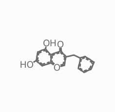 O=c1c(Cc2ccccc2)coc2cc(O)cc(O)c12